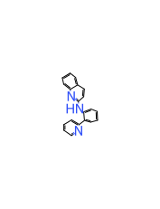 c1ccc(-c2ccccc2Nc2ccc3ccccc3n2)nc1